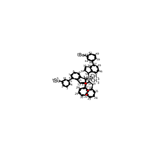 CC(C)(C)c1cccc(-c2cccc3c2C=C[CH]3[Hf]([CH3])([CH3])(=[C](Cc2ccccc2)Cc2ccccc2)[CH]2C=Cc3c(-c4cccc(C(C)(C)C)c4)cccc32)c1